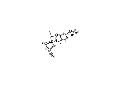 CCC(=O)N(Cc1ccc(OC(F)(F)F)cc1)c1cc(F)cc(C#N)c1